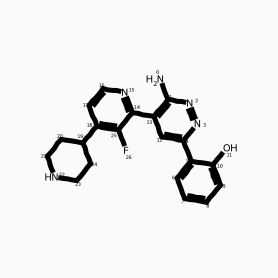 Nc1nnc(-c2ccccc2O)cc1-c1nccc(C2CCNCC2)c1F